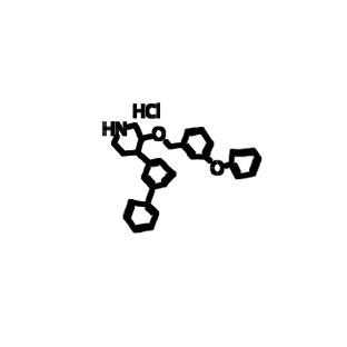 Cl.c1ccc(Oc2cccc(COC3CNCCC3c3cccc(-c4ccccc4)c3)c2)cc1